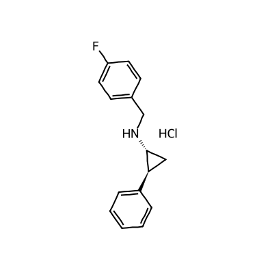 Cl.Fc1ccc(CN[C@@H]2C[C@H]2c2ccccc2)cc1